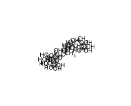 C[C@H](CC[C@@]1(O)O[C@H]2C[C@H]3[C@@H]4CC=C5C[C@@H](O[C@@H]6O[C@H](CO)[C@@H](O[C@@H]7O[C@@H](CO)[C@H](O)[C@H]7O)[C@H](O)[C@H]6O[C@@H]6O[C@@H](C)[C@H](O)[C@@H](O)[C@H]6O)CC[C@]5(C)[C@H]4CC[C@]3(C)[C@@]2(O)[C@@H]1C)CO[C@@H]1O[C@H](CO)[C@@H](O)[C@H](O)[C@H]1O